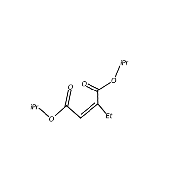 CC/C(=C/C(=O)OC(C)C)C(=O)OC(C)C